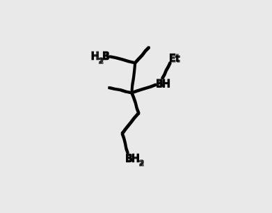 BCCC(C)(BCC)C(B)C